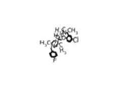 CC(c1cc(Cl)ccc1OCC(=O)N1C[C@H](C)N(Cc2ccc(F)cc2)C[C@H]1C)N(C)C